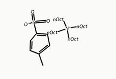 CCCCCCCC[N+](CCCCCCCC)(CCCCCCCC)CCCCCCCC.Cc1ccc(S(=O)(=O)[O-])cc1